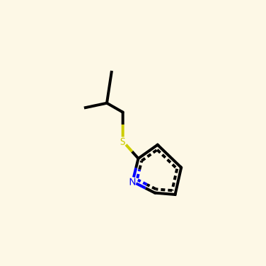 CC(C)CSc1ccccn1